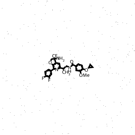 COc1cc(C(=O)NC[C@@H](C)c2cc3c(c(-c4ccc(F)c(F)c4)n2)OC[C@@]3(N)C(F)(F)F)ccc1OC1CC1